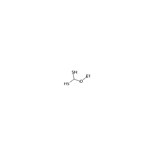 CCOC(S)S